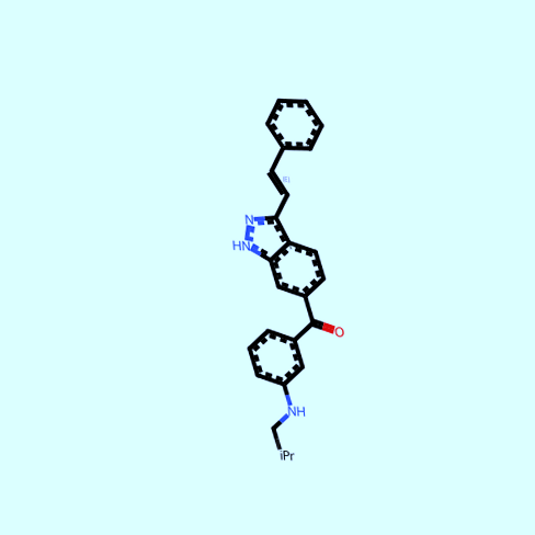 CC(C)CNc1cccc(C(=O)c2ccc3c(/C=C/c4ccccc4)n[nH]c3c2)c1